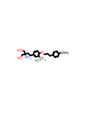 CSc1ccc(CCCOc2ccc(CCC(N)(CO)CO)cc2C(F)(F)F)cc1.Cl